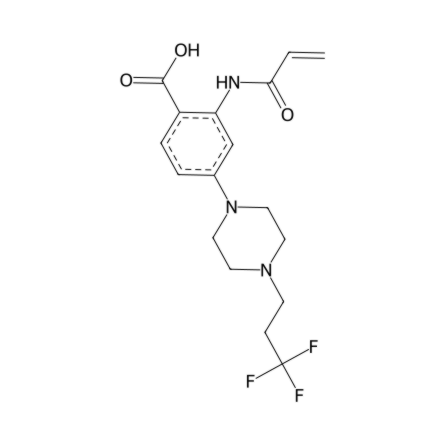 C=CC(=O)Nc1cc(N2CCN(CCC(F)(F)F)CC2)ccc1C(=O)O